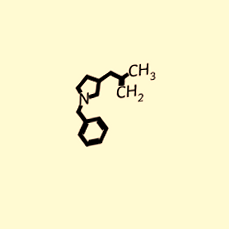 C=C(C)CC1CCN(Cc2ccccc2)C1